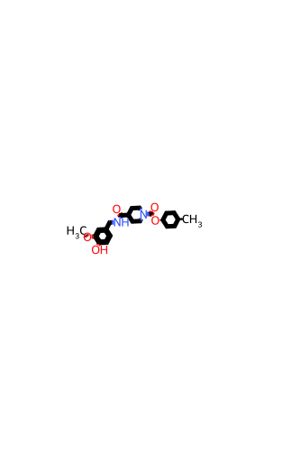 COc1cc(CNC(=O)C2CCN(C(=O)O[C@H]3CC[C@H](C)CC3)CC2)ccc1O